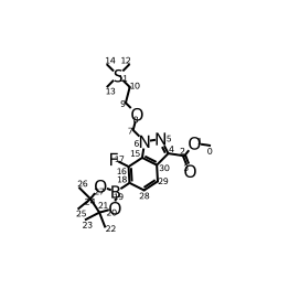 COC(=O)c1nn(COCCS(C)(C)C)c2c(F)c(B3OC(C)(C)C(C)(C)O3)ccc12